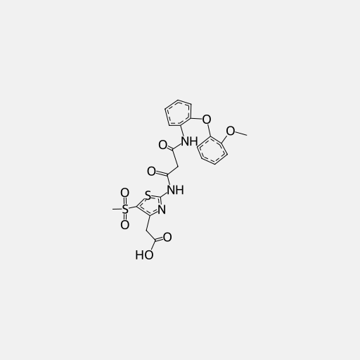 COc1ccccc1Oc1ccccc1NC(=O)CC(=O)Nc1nc(CC(=O)O)c(S(C)(=O)=O)s1